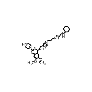 COC1=CC2=NC(N3CCNCC3)=NC(NCc3cn(CCCNCCCNC4CCCCC4)nn3)C2C=C1OC